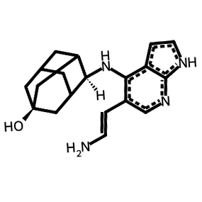 N/C=C/c1cnc2[nH]ccc2c1N[C@H]1C2CC3CC1C[C@@](O)(C3)C2